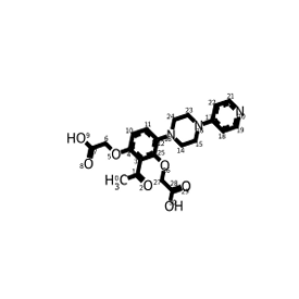 CC(=O)c1c(OCC(=O)O)ccc(N2CCN(c3ccncc3)CC2)c1OCC(=O)O